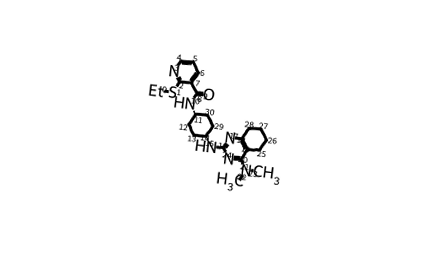 CCSc1ncccc1C(=O)N[C@H]1CC[C@@H](Nc2nc3c(c(N(C)C)n2)CCCC3)CC1